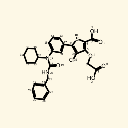 O=C(O)COc1c(C(=O)O)sc(-c2cccc(N(C(=O)NCc3ccccc3)C3CCCCC3)c2)c1Cl